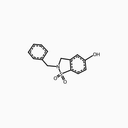 O=S1(=O)c2ccc(O)cc2CN1Cc1ccccc1